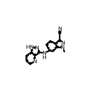 Cn1nc(C#N)c2ccc(Nc3n[nH]c4cccnc34)cc21